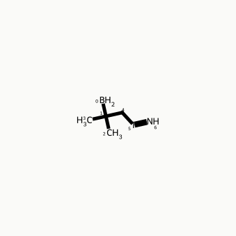 BC(C)(C)CI=N